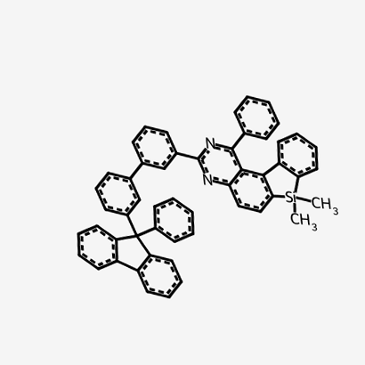 C[Si]1(C)c2ccccc2-c2c1ccc1nc(-c3cccc(-c4cccc(C5(c6ccccc6)c6ccccc6-c6ccccc65)c4)c3)nc(-c3ccccc3)c21